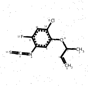 C=CC(C)Oc1cc(N=C=S)c(F)cc1Cl